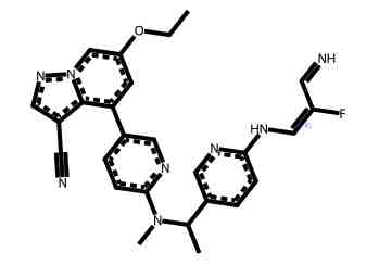 CCOc1cc(-c2ccc(N(C)C(C)c3ccc(N/C=C(/F)C=N)nc3)nc2)c2c(C#N)cnn2c1